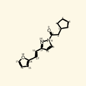 O=C(CC1CCCC1)n1ccc(/C=C/c2ccco2)n1